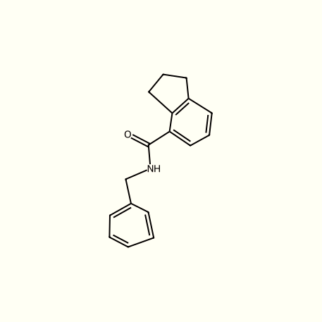 O=C(NCc1ccccc1)c1cccc2c1CCC2